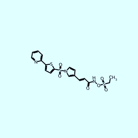 CCS(=O)(=O)ONC(=O)/C=C/c1ccn(S(=O)(=O)c2ccc(-c3ccccn3)s2)c1